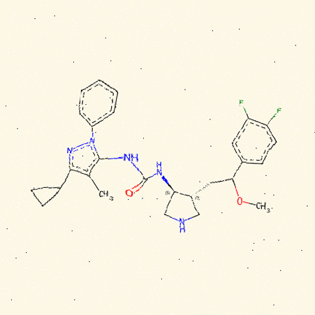 COC(C[C@@H]1CNC[C@H]1NC(=O)Nc1c(C)c(C2CC2)nn1-c1ccccc1)c1ccc(F)c(F)c1